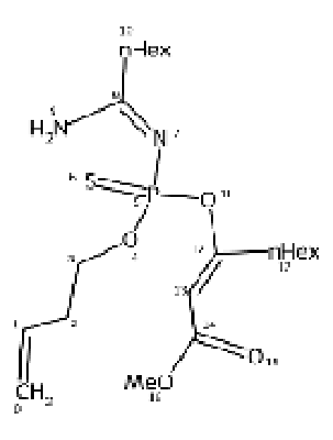 C=CCCOP(=S)(N=C(N)CCCCCC)OC(=CC(=O)OC)CCCCCC